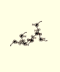 C#CCCCCOP(=O)(O)OCCCCC(=O)NCC(CNC(=O)CCCCOP(=O)(O)OCCCCC#C)OP(=O)(O)OCCCCC(=O)NCC(CNC(=O)CCCCOP(=O)(O)OC(CNC(=O)CCCCOP(=O)(O)OCCCCC#C)CNC(=O)CCCCOP(=O)(O)OCCCCC#C)OP(=O)(O)OCCCC